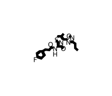 CCCc1noc(C2=C(C)CSC3[C@H](NC(=O)CCc4ccc(F)cc4)C(=O)N23)n1